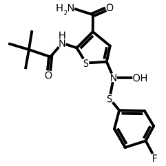 CC(C)(C)C(=O)Nc1sc(N(O)Sc2ccc(F)cc2)cc1C(N)=O